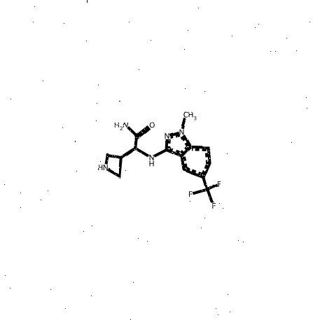 Cn1nc(NC(C(N)=O)C2CNC2)c2cc(C(F)(F)F)ccc21